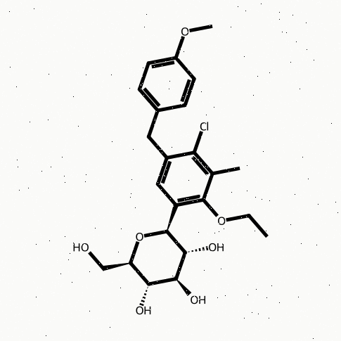 CCOc1c([C@@H]2O[C@H](CO)[C@@H](O)[C@H](O)[C@H]2O)cc(Cc2ccc(OC)cc2)c(Cl)c1C